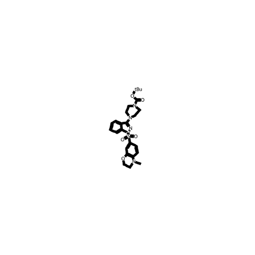 CN1CCOc2cc(S(=O)(=O)n3nc(N4CCN(C(=O)OC(C)(C)C)CC4)c4ccccc43)ccc21